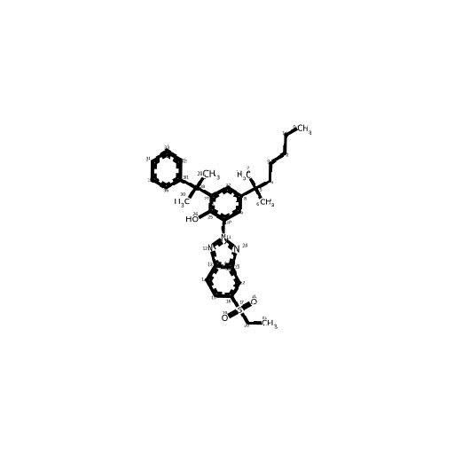 CCCCCC(C)(C)c1cc(-n2nc3ccc(S(=O)(=O)CC)cc3n2)c(O)c(C(C)(C)c2ccccc2)c1